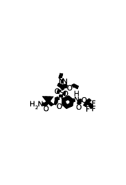 CCOc1nn(CC)cc1S(=O)(=O)N1C[C@H](CC2(C(N)=O)CC2)Oc2ccc(NC(=O)OC(C)(C)C(F)(F)F)cc21